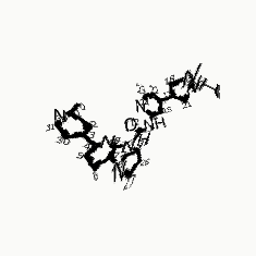 Cc1cc(-c2ccc3c(n2)N(C(=O)Nc2cc(-c4cn[nH]c4)ccn2)[C@H]2CCN3C2)ccn1